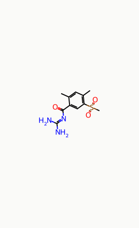 Cc1cc(C)c(S(C)(=O)=O)cc1C(=O)N=C(N)N